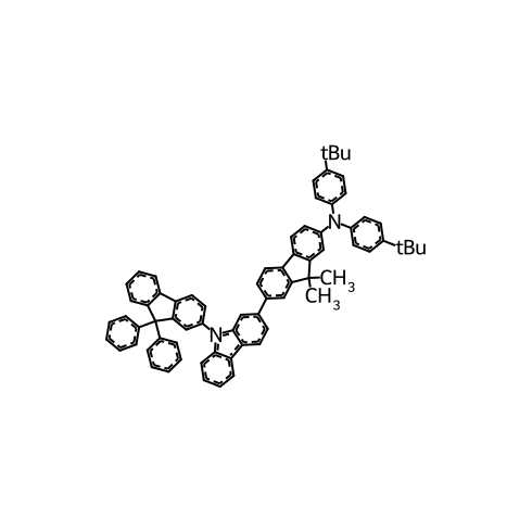 CC(C)(C)c1ccc(N(c2ccc(C(C)(C)C)cc2)c2ccc3c(c2)C(C)(C)c2cc(-c4ccc5c6ccccc6n(-c6ccc7c(c6)C(c6ccccc6)(c6ccccc6)c6ccccc6-7)c5c4)ccc2-3)cc1